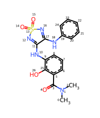 CN(C)C(=O)c1cccc(NC2=NS(=O)(=O)N=C2Nc2ccccc2)c1O